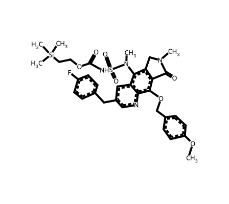 COc1ccc(COc2c3c(c(N(C)S(=O)(=O)NC(=O)OCC[Si](C)(C)C)c4cc(Cc5ccc(F)cc5)cnc24)CN(C)C3=O)cc1